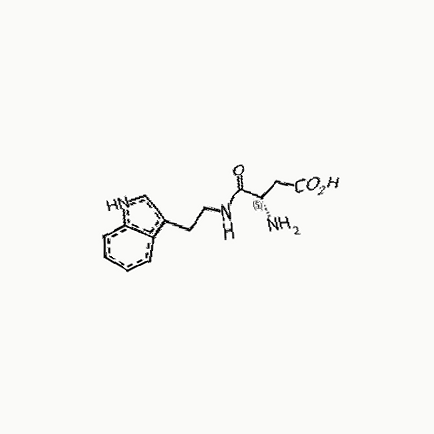 N[C@@H](CC(=O)O)C(=O)NCCc1c[nH]c2ccccc12